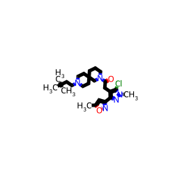 Cc1cc(-c2nn(C)c(Cl)c2CC(=O)N2CCCC3(CCN(CCC(C)(C)C)CC3)C2)no1